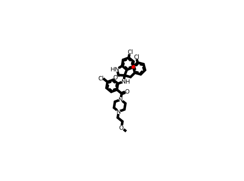 COCCN1CCN(C(=O)c2ccc(Cl)cc2NC2(Cc3cccc(Cl)c3)C(=O)Nc3cc(Cl)ccc32)CC1